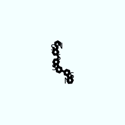 c1cnc2c(c1)sc1ccc(Sc3ccc4sc5ccc(-c6ccc7sc8cccnc8c7c6)cc5c4c3)cc12